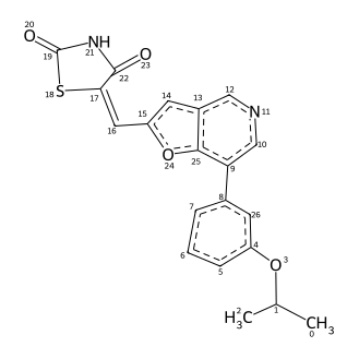 CC(C)Oc1cccc(-c2cncc3cc(C=C4SC(=O)NC4=O)oc23)c1